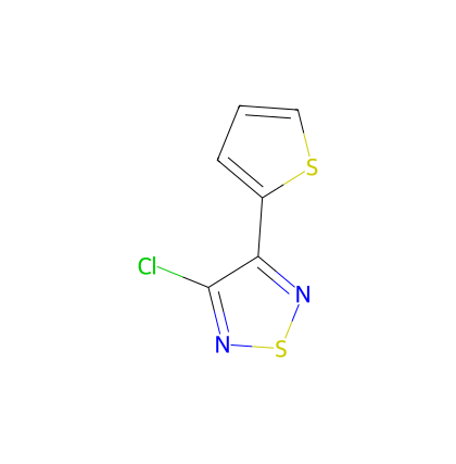 Clc1nsnc1-c1cccs1